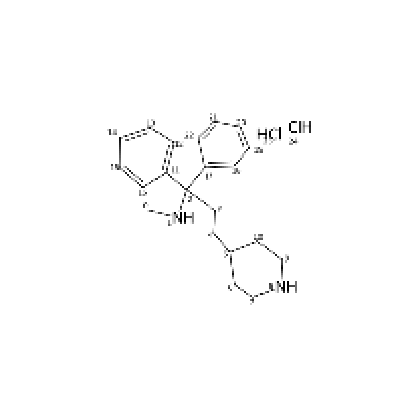 CNC(CCC1CCNCC1)(c1ccccc1)c1ccccc1.Cl.Cl